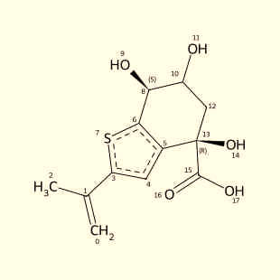 C=C(C)c1cc2c(s1)[C@@H](O)C(O)C[C@]2(O)C(=O)O